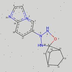 c1cn2cc(N3NOC4(CC5CCC4CC5)N3)ccc2n1